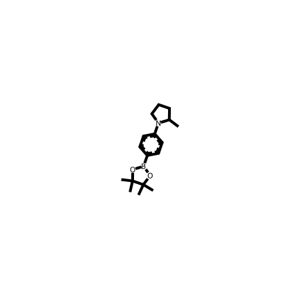 CC1CCCN1c1ccc(B2OC(C)(C)C(C)(C)O2)cc1